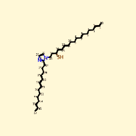 CCCCCCCCCCCCCCCC(S)CCN1CCN=C1CCCCCCCCCCCCCC